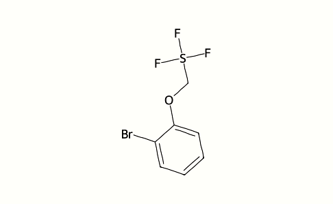 FS(F)(F)COc1ccccc1Br